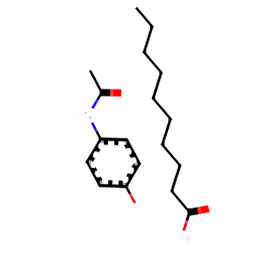 CC(=O)Nc1ccc(O)cc1.CCCCCCCCCC(=O)O